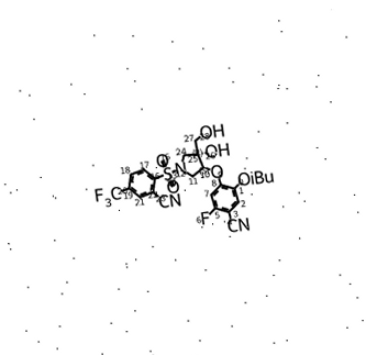 CC(C)COc1cc(C#N)c(F)cc1O[C@H]1CN(S(=O)(=O)c2ccc(C(F)(F)F)cc2C#N)C[C@@]1(O)CO